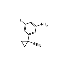 N#CC1(c2cc(N)cc(I)c2)CC1